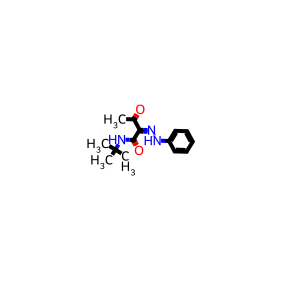 CC(=O)C(=NNc1ccccc1)C(=O)NC(C)(C)C